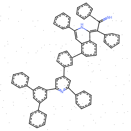 N=C(/C(=C1\NC(c2ccccc2)=Cc2c1cccc2-c1cccc(-c2cc(-c3ccccc3)nc(-c3cc(-c4ccccc4)cc(-c4ccccc4)c3)c2)c1)c1ccccc1)c1ccccc1